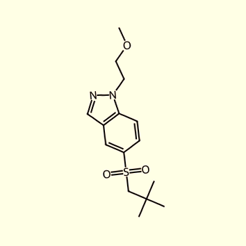 COCCn1ncc2cc(S(=O)(=O)CC(C)(C)C)ccc21